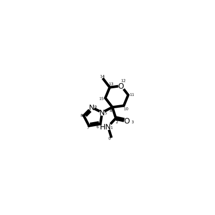 CNC(=O)C1(n2cccn2)CCOC(C)C1